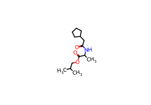 CC(C)COC(=O)C(C)NC(=O)CC1CCCC1